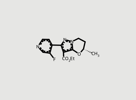 CCOC(=O)c1c(-c2ccncc2F)nn2c1O[C@@H](C)CC2